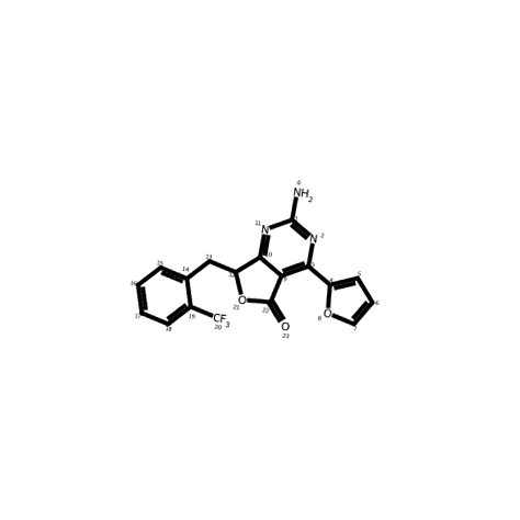 Nc1nc(-c2ccco2)c2c(n1)C(Cc1ccccc1C(F)(F)F)OC2=O